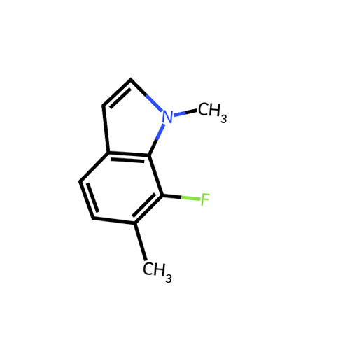 Cc1ccc2ccn(C)c2c1F